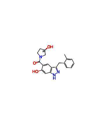 Cc1ccccc1Cc1n[nH]c2cc(O)c(C(=O)N3CC[C@@H](O)C3)cc12